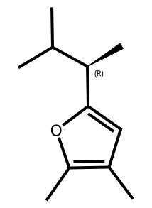 Cc1cc([C@H](C)C(C)C)oc1C